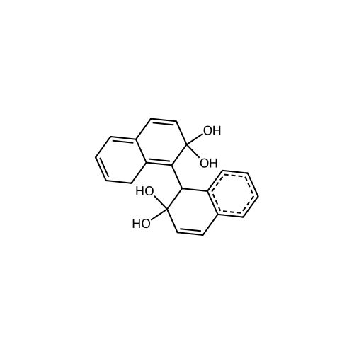 OC1(O)C=CC2=CC=CCC2=C1C1c2ccccc2C=CC1(O)O